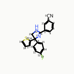 N#Cc1cccc(C2=NC(c3ccc(F)cc3)(c3cccs3)CN2)c1